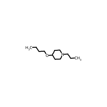 CCCCOC1CCN(CCC)CC1